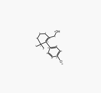 CC1(C)CCCC(CO)=C1c1ccc(Cl)cc1